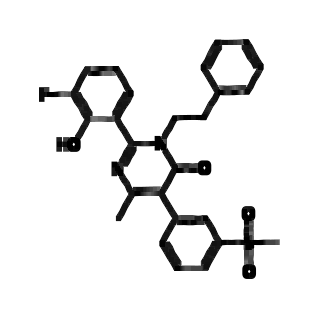 Cc1nc(-c2cccc(F)c2O)n(CCc2ccccc2)c(=O)c1-c1cccc(S(C)(=O)=O)c1